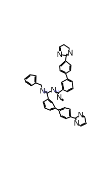 C=N/C(=N\C(=N/Cc1ccccc1)c1cccc(-c2ccc(-c3ncccn3)cc2)c1)c1cccc(-c2ccc(C3=NCCC=N3)cc2)c1